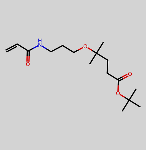 C=CC(=O)NCCCOC(C)(C)CCC(=O)OC(C)(C)C